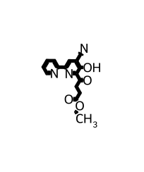 CCOC(=O)CCC(=O)c1nc(-c2ccccn2)cc(C#N)c1O